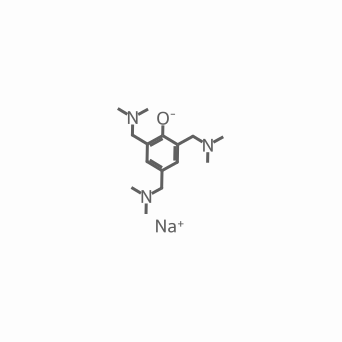 CN(C)Cc1cc(CN(C)C)c([O-])c(CN(C)C)c1.[Na+]